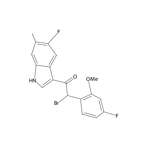 COc1cc(F)ccc1C(Br)C(=O)c1c[nH]c2cc(C)c(F)cc12